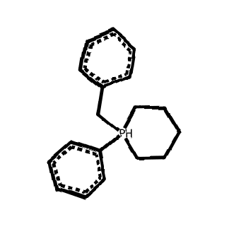 c1ccc(C[PH]2(c3ccccc3)CCCCC2)cc1